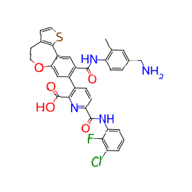 Cc1cc(CN)ccc1NC(=O)c1cc2c(cc1-c1ccc(C(=O)Nc3cccc(Cl)c3F)nc1C(=O)O)OCCc1ccsc1-2